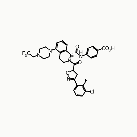 O=C(O)c1ccc(NC(=O)[C@H]2c3cccc(N4CCN(CC(F)(F)F)CC4)c3CCN2C(=O)C2CC(c3cccc(Cl)c3F)=NO2)cc1